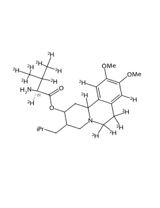 [2H]c1c(OC)c(OC)c([2H])c2c1C1([2H])CC(OC(=O)[C@@]([2H])(N)C([2H])(C([2H])([2H])[2H])C([2H])([2H])[2H])C(CC(C)C)CN1C([2H])([2H])C2([2H])[2H]